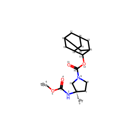 CC(C)[C@@]1(NC(=O)OC(C)(C)C)CCN(C(=O)OC2C3CC4CC(C3)CC2C4)C1